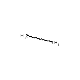 CC/C=C/CCCCCCCCCCCCCCCCC